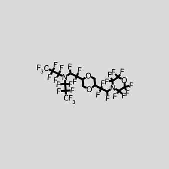 FC(N1C(F)(F)C(F)(F)OC(F)(F)C1(F)F)C(F)(F)C1COC(C(F)(F)C(F)N(C(F)(F)C(F)(F)C(F)(F)F)C(F)(F)C(F)(F)C(F)(F)F)CO1